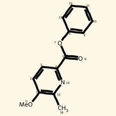 COc1ccc(C(=O)Oc2ccccc2)nc1C